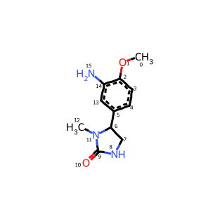 COc1ccc(C2CNC(=O)N2C)cc1N